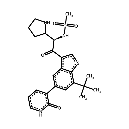 CC(C)(C)c1cc(-c2ccc[nH]c2=O)cc2c(C(=O)[C@H](NS(C)(=O)=O)C3CCCN3)csc12